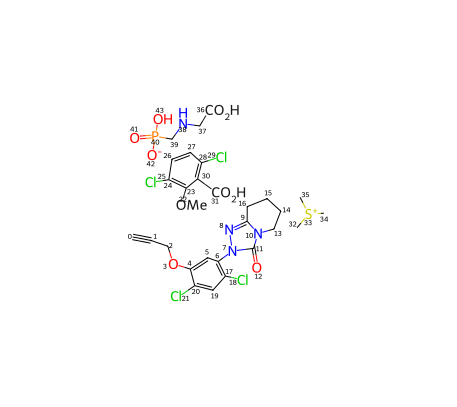 C#CCOc1cc(-n2nc3n(c2=O)CCCC3)c(Cl)cc1Cl.COc1c(Cl)ccc(Cl)c1C(=O)O.C[S+](C)C.O=C(O)CNCP(=O)([O-])O